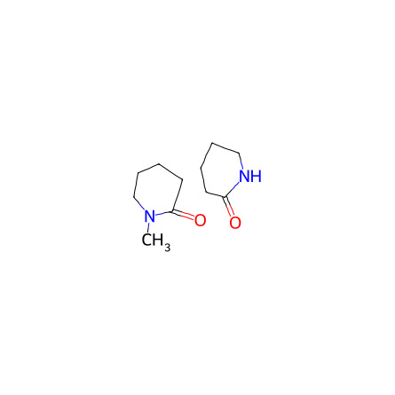 CN1CCCCC1=O.O=C1CCCCN1